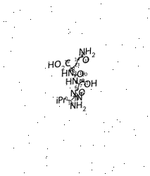 CC(C)C(N)c1noc(C(NC(=O)N[C@@H](CCC(N)=O)C(=O)O)[C@H](C)O)n1